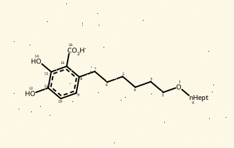 CCCCCCCOCCCCCCc1ccc(O)c(O)c1C(=O)O